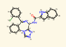 O=C(NC1N=C(c2ccccc2F)c2ccccc2-n2cnnc21)c1cc2ccccc2[nH]1